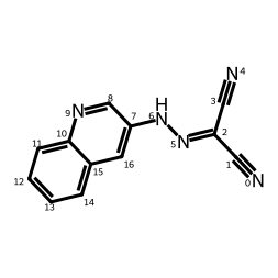 N#CC(C#N)=NNc1cnc2ccccc2c1